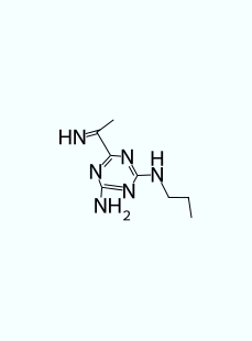 CCCNc1nc(N)nc(C(C)=N)n1